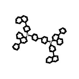 c1ccc(-c2ccc(N(c3ccc(-c4ccc(N(c5ccc(-c6cccc7ccccc67)cc5)c5ccc(-c6ccccc6)c6ccccc56)cc4)cc3)c3ccc(-c4cccc5ccccc45)cc3)c3ccccc23)cc1